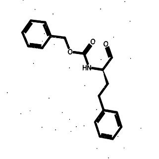 O=C[C@@H](CCc1ccccc1)NC(=O)OCc1ccccc1